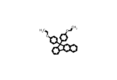 C=COc1ccc(C2(c3ccc(OC=C)cc3)c3ccccc3-c3cc4ccccc4cc32)cc1